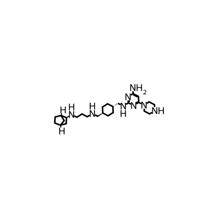 Nc1cc(N2CCNCC2)nc(NC[C@H]2CC[C@H](CNCCCN[C@H]3C[C@@H]4CC[C@H]3C4)CC2)n1